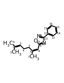 CC(C)=CCCC(C)=Cc1nc(-c2ccccc2)no1